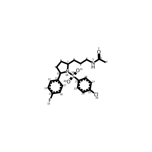 CC(=O)NCCCC1CCC(c2ccc(F)cc2)N1S(=O)(=O)c1ccc(Cl)cc1